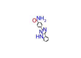 NC(=O)c1ccc(-c2ncc3c(n2)[nH]c2ccccc23)cc1